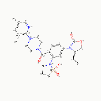 CC[C@@H]1COC(=O)N1c1ccc(C(=O)N2CCN(c3ncc(C)cc3C)CC2)c(N2CCCS2(=O)=O)c1